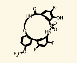 O=C1NCCOc2ccc(OC(F)(F)F)cc2-c2cc(c(F)cc2F)NS(=O)(=O)c2cc1cc(Br)c2O